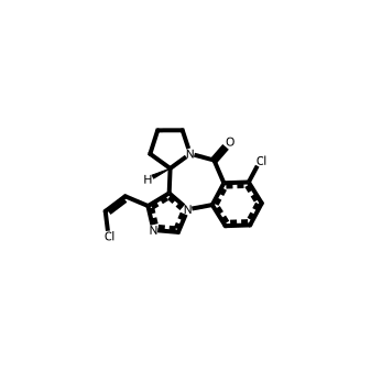 O=C1c2c(Cl)cccc2-n2cnc(/C=C\Cl)c2[C@@H]2CCCN12